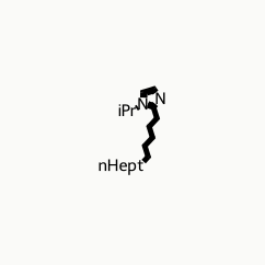 CCCCCCCCCCCCc1nccn1C(C)C